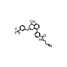 CC1CN(Cc2cccc(C(F)(F)F)c2)Cc2c(-c3cccc(C(=O)NCCC#N)c3)cccc21